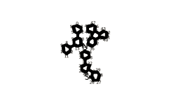 c1ccc(-c2cc(-c3ccccc3)cc(N(c3ccc(-c4ccc5sc6ccccc6c5c4)cc3)c3ccc4c5ccccc5c5ccccc5c4c3)c2)cc1